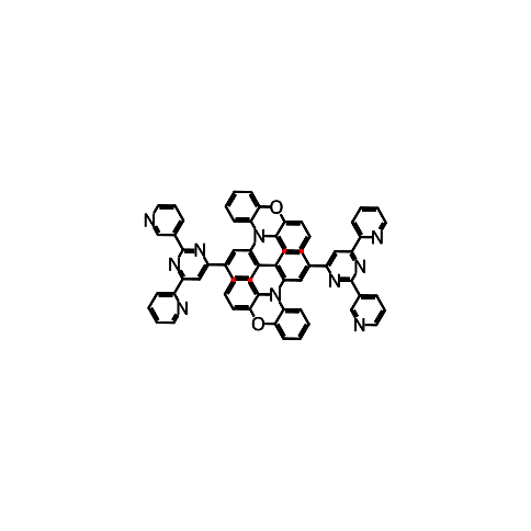 c1ccc(-c2cc(-c3ccc(-c4ccc(-c5cc(-c6ccccn6)nc(-c6cccnc6)n5)cc4N4c5ccccc5Oc5ccccc54)c(N4c5ccccc5Oc5ccccc54)c3)nc(-c3cccnc3)n2)nc1